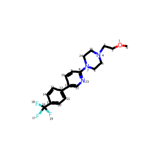 COCCN1CCN(c2ccc(-c3ccc(C(F)(F)F)cc3)cn2)CC1